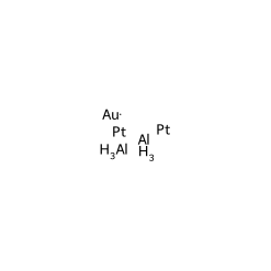 [AlH3].[AlH3].[Au].[Pt].[Pt]